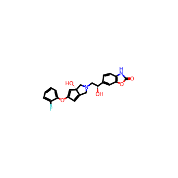 O=c1[nH]c2ccc([C@@H](O)CN3CC4=CC(Oc5ccccc5F)=C[C@@]4(O)C3)cc2o1